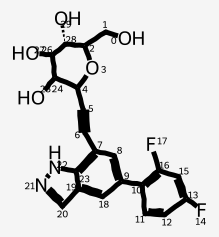 OCC1OC(C#Cc2cc(-c3ccc(F)cc3F)cc3cn[nH]c23)C(O)C(O)[C@@H]1O